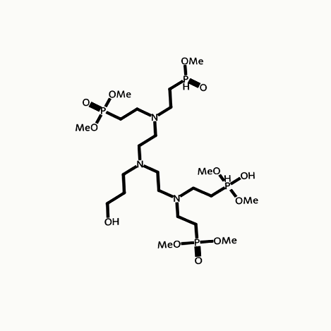 CO[PH](=O)CCN(CCN(CCCO)CCN(CCP(=O)(OC)OC)CC[PH](O)(OC)OC)CCP(=O)(OC)OC